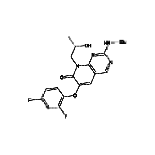 CC[C@@H](C)Nc1ncc2cc(Oc3ccc(F)cc3F)c(=O)n(C[C@H](C)O)c2n1